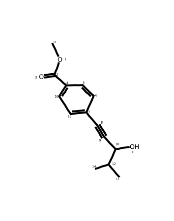 COC(=O)c1ccc(C#CC(O)C(C)C)cc1